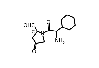 NC(C(=O)N1CC(=O)C[C@H]1C=O)C1CCCCC1